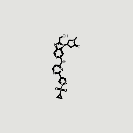 CN1CC(n2c(CO)nc3cnc(Nc4ccnc(-c5cnn(S(=O)(=O)C6CC6)c5)n4)cc32)CC1=O